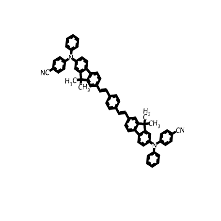 CC1(C)c2cc(/C=C/c3ccc(/C=C/c4ccc5c(c4)C(C)(C)c4cc(N(c6ccccc6)c6ccc(C#N)cc6)ccc4-5)cc3)ccc2-c2ccc(N(c3ccccc3)c3ccc(C#N)cc3)cc21